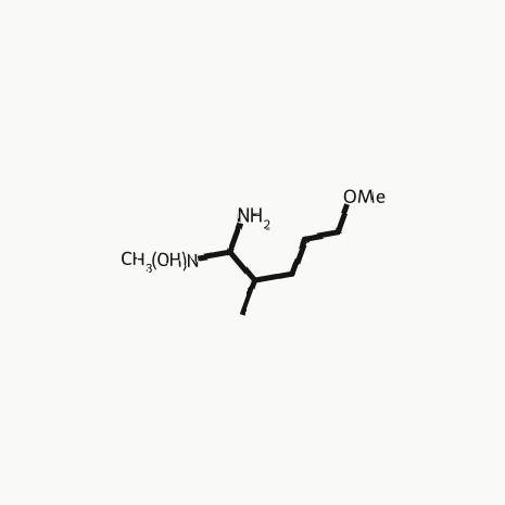 COCCCC(C)C(N)N(C)O